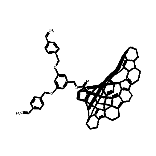 C=Cc1ccc(COc2cc(COC(=O)CCCC3(c4ccccc4)C45C6=C7CCC8C9CCC%10c%11c9c9c%12c%13c%11C%11C%14=C(CCC%10%11)C%10=c%11c%14c-%13c(c%13c%11C(=C(CC6)C%1343)CC%10)=C%12C5=C7C98)cc(OCc3ccc(C=C)cc3)c2)cc1